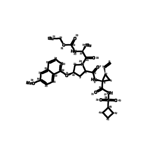 C=C[C@@H]1C[C@]1(NC(=O)C1C[C@@H](Oc2nccc3cc(OC)ccc23)CN1C(=O)[C@@H](NC(=O)OCC(C)(C)C)C(C)(C)C)C(=O)NS(=O)(=O)C1CCC1